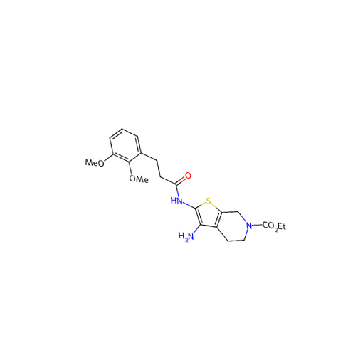 CCOC(=O)N1CCc2c(sc(NC(=O)CCc3cccc(OC)c3OC)c2N)C1